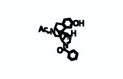 CC(=O)CN1CCC23c4cc(O)ccc4CC1C21CCC2C3[C@@H](CN2C(=O)c2ccccc2)C1